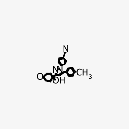 Cc1ccc(-c2cc(C3(O)CCC(=O)CC3)nn2-c2ccc(C#N)cc2)cc1